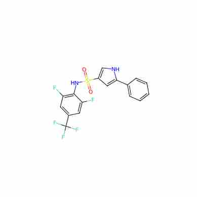 O=S(=O)(Nc1c(F)cc(C(F)(F)F)cc1F)c1c[nH]c(-c2ccccc2)c1